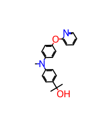 CN(c1ccc(Oc2ccccn2)cc1)c1ccc(C(C)(C)O)cc1